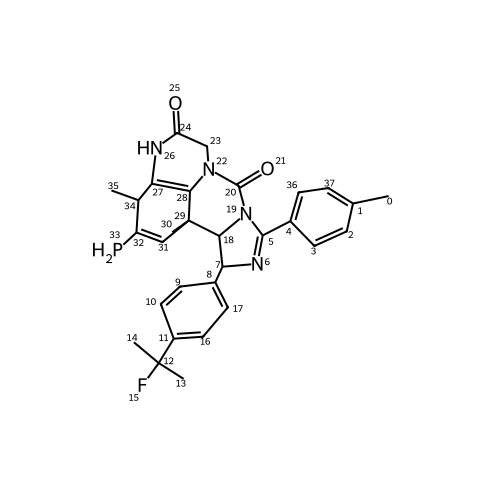 Cc1ccc(C2=NC(c3ccc(C(C)(C)F)cc3)C3N2C(=O)N2CC(=O)NC4=C2C3(C)C=C(P)C4C)cc1